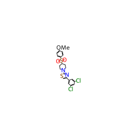 COc1ccc(S(=O)(=O)C2CCN(c3nc(-c4cc(Cl)cc(Cl)c4)cs3)CC2)cc1